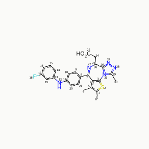 Cc1sc2c(c1C)C(c1ccc(Nc3cccc(F)c3)cc1)=N[C@@H](CC(=O)O)c1nnc(C)n1-2